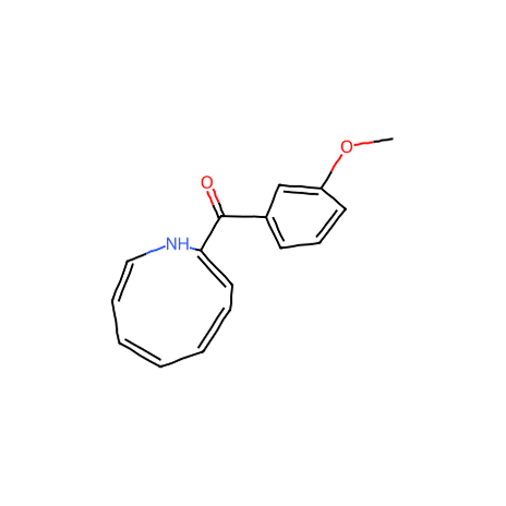 COc1cccc(C(=O)c2ccccccc[nH]2)c1